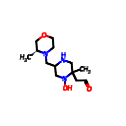 C[C@@H]1COCCN1CC1CN(O)C(C)(CC=O)CN1